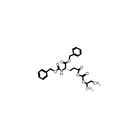 CCC(C)OC(=O)OC(=O)CC[C@H](NC(=O)OCc1ccccc1)C(=O)OCc1ccccc1